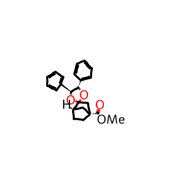 COC(=O)[C@]12CC[C@H](C1)C1(C2)O[C@@H](c2ccccc2)[C@H](c2ccccc2)O1